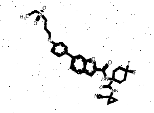 CCS(=O)(=O)CCCOc1ccc(-c2ccc3cc(C(=O)NC4(C(=O)NC5(C#N)CC5)CCC(F)(F)CC4)oc3c2)cc1